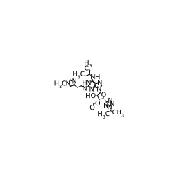 CCC(CC)Nc1nc(NCCc2cn(C)cn2)nc2c1ncn2[C@@H]1O[C@H](c2nnn(C(C)C)n2)[C@@H](OC=O)[C@H]1O